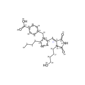 CCCCc1ncc(/C=C2/C(=O)NC(=O)N2CCCCO)n1Cc1ccc(C(=O)O)cc1